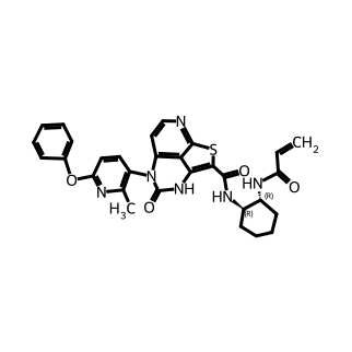 C=CC(=O)N[C@@H]1CCCC[C@H]1NC(=O)c1sc2nccc3c2c1NC(=O)N3c1ccc(Oc2ccccc2)nc1C